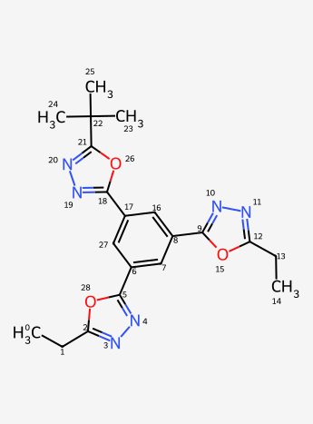 CCc1nnc(-c2cc(-c3nnc(CC)o3)cc(-c3nnc(C(C)(C)C)o3)c2)o1